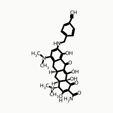 C#Cc1ccc(CNc2cc(N(C)C)c3c(c2O)C(=O)C2=C(O)[C@]4(O)C(=O)C(C(N)=O)=C(O)[C@@H](N(C)C)[C@@H]4C[C@@H]2C3)cc1